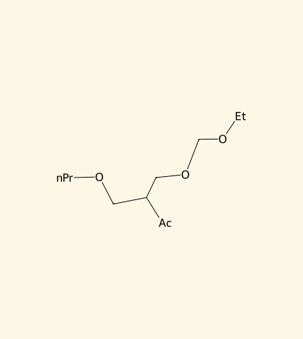 CCCOCC(COCOCC)C(C)=O